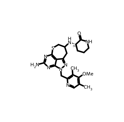 COc1c(C)cnc(Cn2nc3c4c(nc(N)nc42)SCC(N[C@H]2CCCNC2=O)C3)c1C